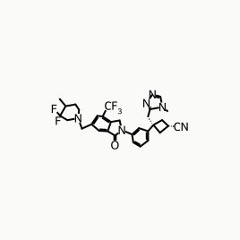 CC1CCN(Cc2cc3c(c(C(F)(F)F)c2)CN(c2cccc([C@]4(Cc5nncn5C)C[C@@H](C#N)C4)c2)C3=O)CC1(F)F